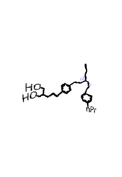 C=C/C=C(\C=C/Cc1ccc(CCC)cc1)CCc1ccc(CCCC(CO)CO)cc1